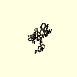 Nc1n[nH]c2sc3cccc(-c4c(Cl)c5c6c(nc(OC[C@@]78CCCN7C[C@H](F)C8)nc6c4F)N4C[C@H]6CC[C@H](N6)[C@H]4CO5)c3c12